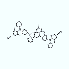 Cc1ccc2c(-c3ccc(N(c4ccccc4)c4c(C)cc(C#N)cc4C)cc3)cc3c4cc(C)cc5c4c(cc3c2c1)-c1ccc(N(c2ccccc2)c2c(C)cc(C#N)cc2C)cc1O5